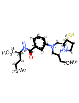 COCCCN(C[C@@H]1NCC[C@@H]1S)c1cccc(C(=O)N[C@@H](CCSC)C(=O)O)c1